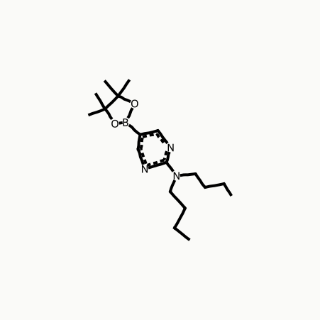 CCCCN(CCCC)c1ncc(B2OC(C)(C)C(C)(C)O2)cn1